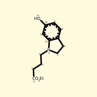 CCOC(=O)CCCN1CCc2ccc(O)cc21